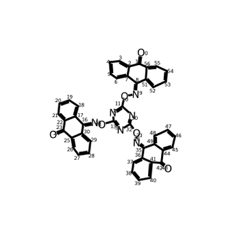 O=C1c2ccccc2C(=NOc2nc(ON=C3c4ccccc4C(=O)c4ccccc43)nc(ON=C3c4ccccc4C(=O)c4ccccc43)n2)c2ccccc21